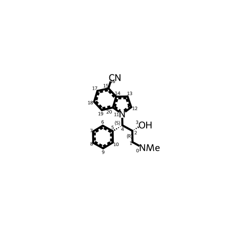 CNC[C@@H](O)[C@H](c1ccccc1)n1ccc2c(C#N)cccc21